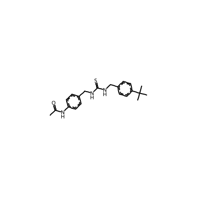 CC(=O)Nc1ccc(CNC(=S)NCc2ccc(C(C)(C)C)cc2)cc1